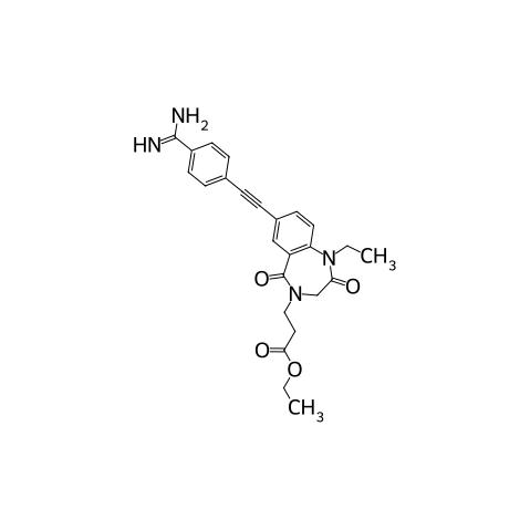 CCOC(=O)CCN1CC(=O)N(CC)c2ccc(C#Cc3ccc(C(=N)N)cc3)cc2C1=O